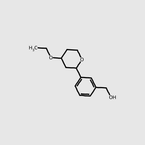 CCOC1CCOC(c2cccc(CO)c2)C1